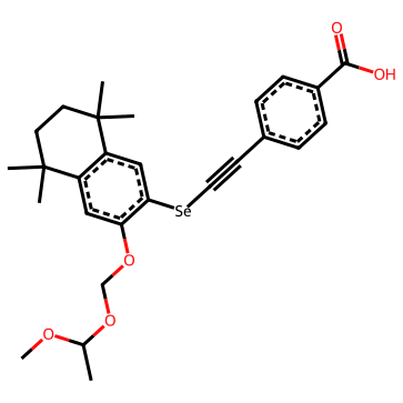 COC(C)OCOc1cc2c(cc1[Se]C#Cc1ccc(C(=O)O)cc1)C(C)(C)CCC2(C)C